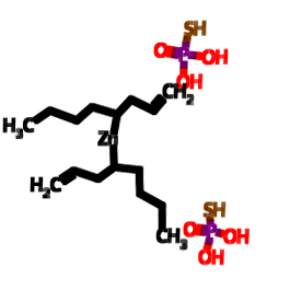 C=CC[CH](CCCC)[Zn][CH](CC=C)CCCC.O=P(O)(O)S.O=P(O)(O)S